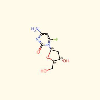 Nc1cc(F)n([C@H]2C[C@H](O)[C@@H](CO)O2)c(=O)n1